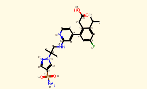 CC(C)c1cc(F)cc(-c2ccnc(NCC(C)(C)n3cc(S(N)(=O)=O)cn3)c2)c1CC(=O)O